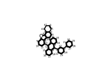 C1=Cc2ccc3c(oc4cccc(-c5c6ccccc6c(-c6cccc(-c7ccccc7)c6)c6ccccc56)c43)c2CC1